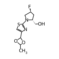 CC1OC(c2csc(N3C[C@@H](F)C[C@@H]3CO)n2)O1